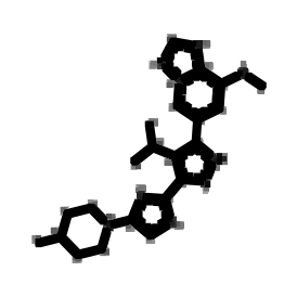 COc1cc(-c2[nH]nc(-c3ncc(N4CCC(C)CC4)s3)c2C(C)C)cn2ncnc12